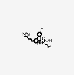 CSCC[C@H](NC(=O)c1ccc(C=CCc2cncn2C)cc1-c1ccc(F)cc1)C(=O)O